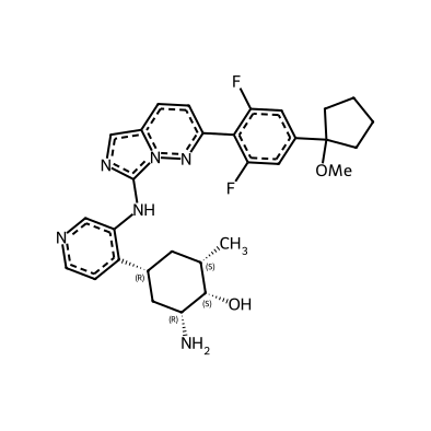 COC1(c2cc(F)c(-c3ccc4cnc(Nc5cnccc5[C@H]5C[C@@H](N)[C@@H](O)[C@@H](C)C5)n4n3)c(F)c2)CCCC1